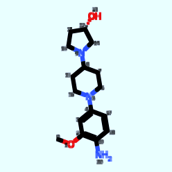 COc1cc(N2CCC(N3CC[C@H](O)C3)CC2)ccc1N